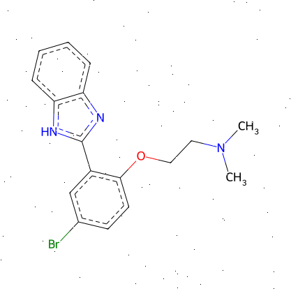 CN(C)CCOc1ccc(Br)cc1-c1nc2ccccc2[nH]1